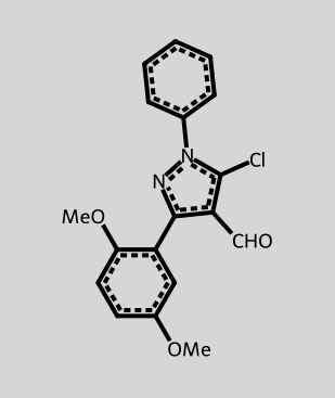 COc1ccc(OC)c(-c2nn(-c3ccccc3)c(Cl)c2C=O)c1